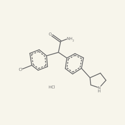 Cl.NC(=O)C(c1ccc(Cl)cc1)c1ccc(C2CCNC2)cc1